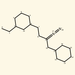 CCC1CCCC(CCC(CC2CCCCC2)=[N+]=[N-])C1